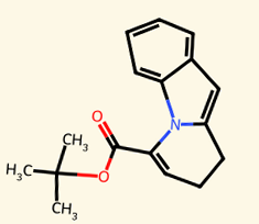 CC(C)(C)OC(=O)C1=CCCc2cc3ccccc3n21